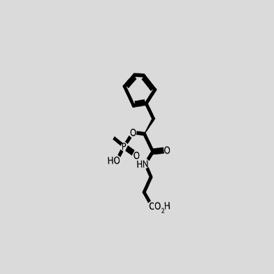 CP(=O)(O)O[C@@H](Cc1ccccc1)C(=O)NCCC(=O)O